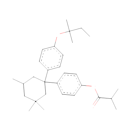 CCC(C)(C)Oc1ccc(C2(c3ccc(OC(=O)C(C)C)cc3)CC(C)CC(C)(C)C2)cc1